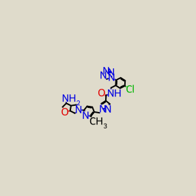 Cc1nc(N2CC3OCC(N)C3C2)ccc1Cn1cc(C(=O)NCc2cc(Cl)ccc2-n2cnnn2)cn1